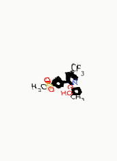 C[C@@]1(O)CCC[C@H]1Oc1ncc(C(F)(F)F)cc1-c1ccc(S(C)(=O)=O)cc1